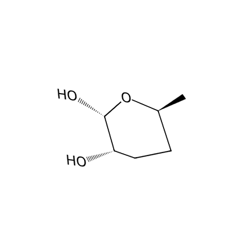 C[C@H]1CC[C@H](O)[C@H](O)O1